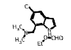 CCOC=O.CN(C)Cc1cc(Cl)cc2cc[nH]c12